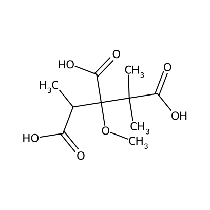 COC(C(=O)O)(C(C)C(=O)O)C(C)(C)C(=O)O